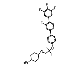 CCCC1CCC(OCC(F)(F)Oc2ccc(-c3ccc(-c4cc(F)c(F)c(F)c4)c(F)c3)cc2)CC1